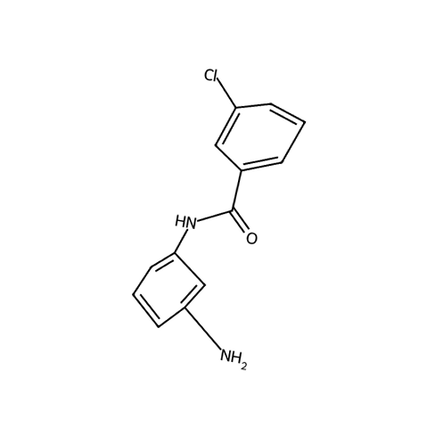 Nc1cccc(NC(=O)c2cccc(Cl)c2)c1